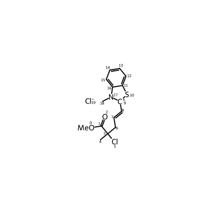 COC(=O)C(C)(Cl)CC=C[c+]1sc2ccccc2n1C.[Cl-]